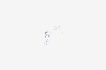 C=C(O)NCCCNC1=C\CC(C)/C(N)=N/C=C\1C(F)(F)F